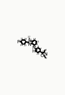 Cc1nc(C)c(-c2ccc(Nc3cccc4c3nc(-c3ccc(F)cc3)n4C)cc2)o1